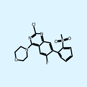 CS(=O)(=O)c1ccccc1-c1cc2nc(Cl)nc(N3CCOCC3)c2cc1F